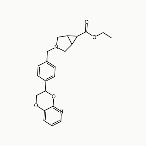 CCOC(=O)C1C2CN(Cc3ccc(C4COc5cccnc5O4)cc3)CC21